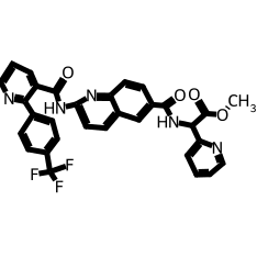 COC(=O)C(NC(=O)c1ccc2nc(NC(=O)c3cccnc3-c3ccc(C(F)(F)F)cc3)ccc2c1)c1ccccn1